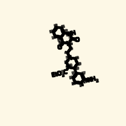 CCOC(=O)[C@H]1CN(CCn2c(=O)[nH]c3ccccc3c2=O)CC[C@H]1c1cccc(N)c1